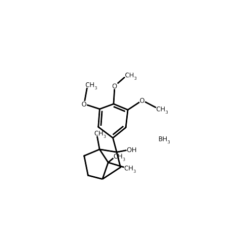 B.COc1cc(C2(O)CC3CCC2(C)C3(C)C)cc(OC)c1OC